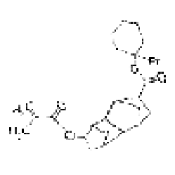 C=C(C)C(=O)OC1CC2CC1C1C3CC(CC3C(=O)OC3(CC)CCCCC3)C21